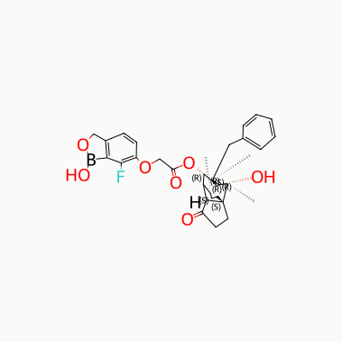 C[C@@H]1CC[C@@]23CCC(=O)[C@H]2C1[C@H](OC(=O)COc1ccc2c(c1F)B(O)OC2)C[C@@](C)(Cc1ccccc1)[C@@H](O)[C@@H]3C